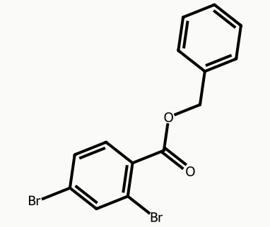 O=C(OCc1ccccc1)c1ccc(Br)cc1Br